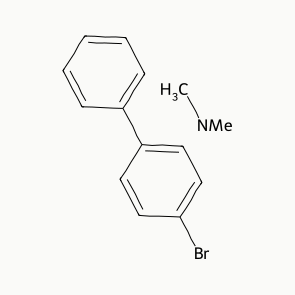 Brc1ccc(-c2ccccc2)cc1.CNC